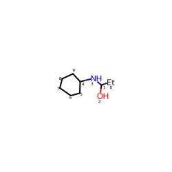 CCC(O)NC1CCCCC1